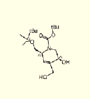 CC(C)(C)OC(=O)N1C[C@@H](O)C(CO)=C[C@H]1CO[Si](C)(C)C(C)(C)C